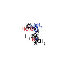 Cc1cc(-c2ccn3nc(N)c(C(=O)N[C@@H]4CCC[C@@H](O)C4)c3n2)cc2c1C(=O)N([C@@H](C)C1CC1)C2